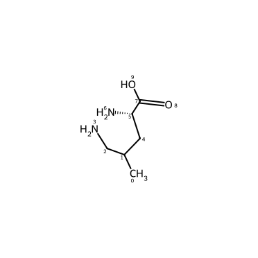 CC(CN)C[C@H](N)C(=O)O